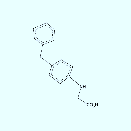 O=C(O)CNc1ccc(Cc2ccccc2)cc1